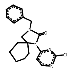 O=C1N(Cc2ccccc2)CC2(CCCCC2)N1c1ccnc(Cl)n1